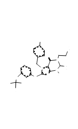 CN1c2nc(Oc3cccc(OC(F)(F)F)c3)n(Cc3ccc(Cl)cc3)c2C(=O)N(CCO)C1O